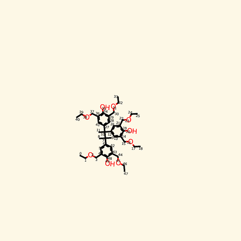 CCOCc1cc(C(C)(C)C(C)(c2cc(COCC)c(O)c(COCC)c2)c2cc(COCC)c(O)c(COCC)c2)cc(COCC)c1O